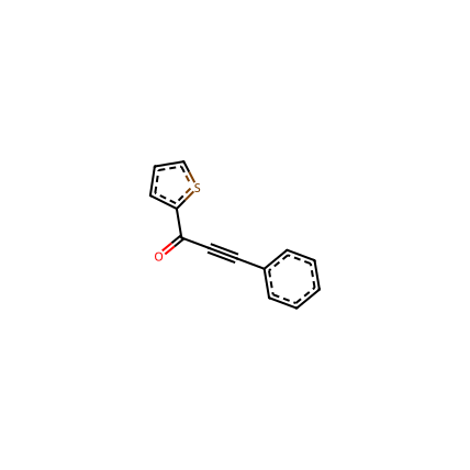 O=C(C#Cc1ccccc1)c1cccs1